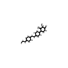 CCCC1CCC(CCC2CCC(C3CCC(C)C(F)C3F)CC2)CC1